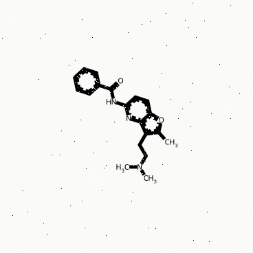 Cc1oc2ccc(NC(=O)c3ccccc3)nc2c1CCN(C)C